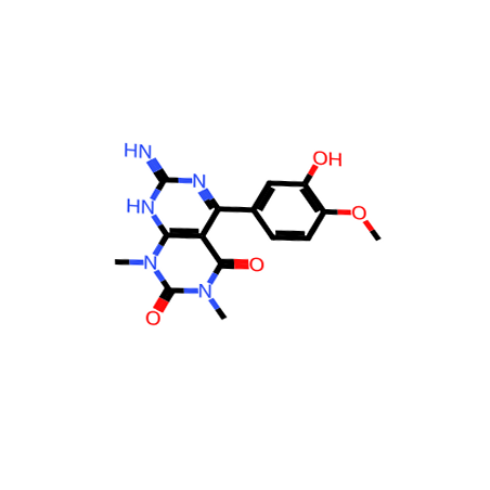 COc1ccc(-c2nc(=N)[nH]c3c2c(=O)n(C)c(=O)n3C)cc1O